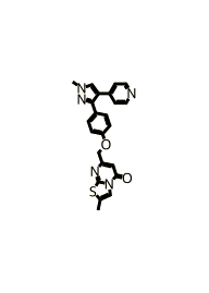 Cc1cn2c(=O)cc(COc3ccc(-c4nn(C)cc4-c4ccncc4)cc3)nc2s1